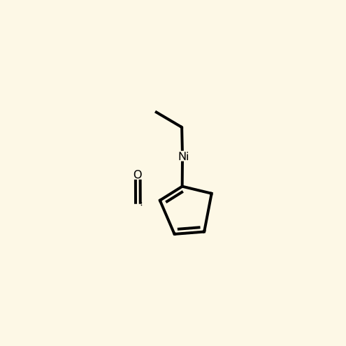 C[CH2][Ni][C]1=CC=CC1.[C]=O